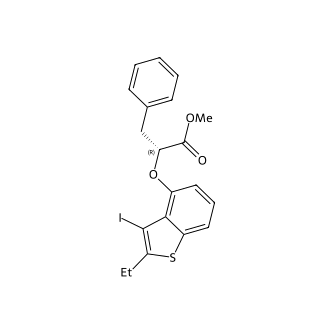 CCc1sc2cccc(O[C@H](Cc3ccccc3)C(=O)OC)c2c1I